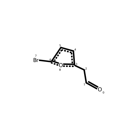 O=CCc1ccc(Br)o1